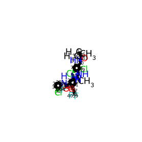 Cn1c(Nc2c(Cl)ccc(CNC(=O)C(C)(C)C)c2Cl)nc2cc(C(=O)Nc3cccc(Cl)c3F)c(OCC(F)F)cc21